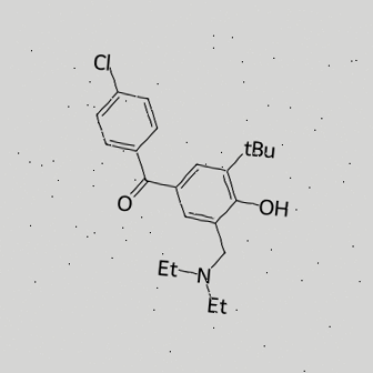 CCN(CC)Cc1cc(C(=O)c2ccc(Cl)cc2)cc(C(C)(C)C)c1O